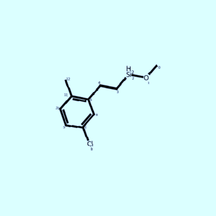 CO[SiH2]CCc1cc(Cl)ccc1C